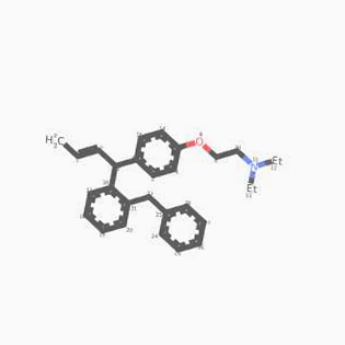 CC=CC(c1ccc(OCCN(CC)CC)cc1)c1ccccc1Cc1ccccc1